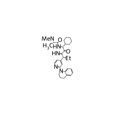 CC[C@H](C(=N)C(=O)[C@@H](NC(=O)[C@H](C)NC)C1CCCCC1)c1ccnc(N2CCCc3ccccc32)c1